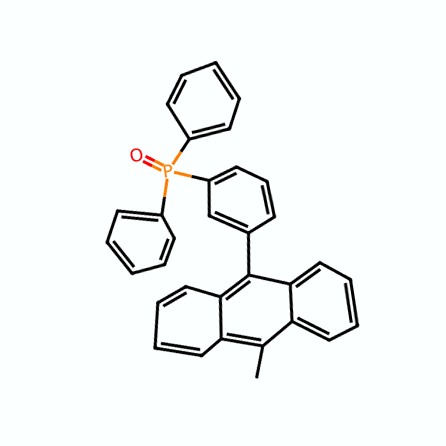 Cc1c2ccccc2c(-c2cccc(P(=O)(c3ccccc3)c3ccccc3)c2)c2ccccc12